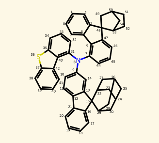 c1ccc2c(c1)-c1c(N(c3ccc4c(c3)C3(c5ccccc5-4)C4CC5CC(C4)CC3C5)c3cccc4sc5ccccc5c34)cccc1C21CC2CCC1C2